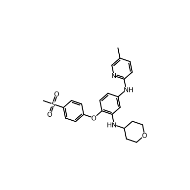 Cc1ccc(Nc2ccc(Oc3ccc(S(C)(=O)=O)cc3)c(NC3CCOCC3)c2)nc1